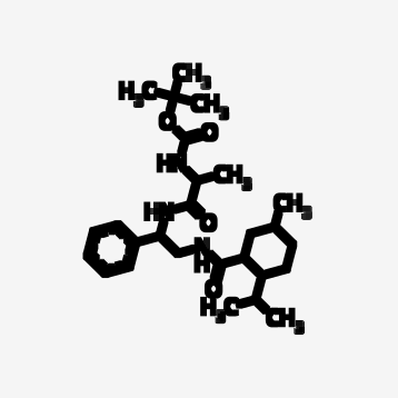 CC1CCC(C(C)C)C(C(=O)NCC(NC(=O)C(C)NC(=O)OC(C)(C)C)c2ccccc2)C1